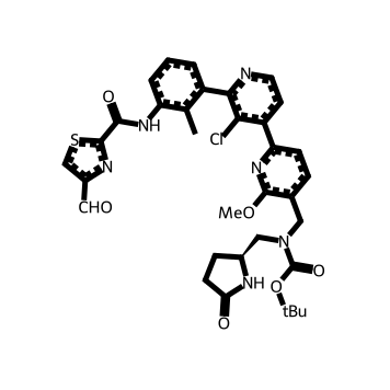 COc1nc(-c2ccnc(-c3cccc(NC(=O)c4nc(C=O)cs4)c3C)c2Cl)ccc1CN(C[C@@H]1CCC(=O)N1)C(=O)OC(C)(C)C